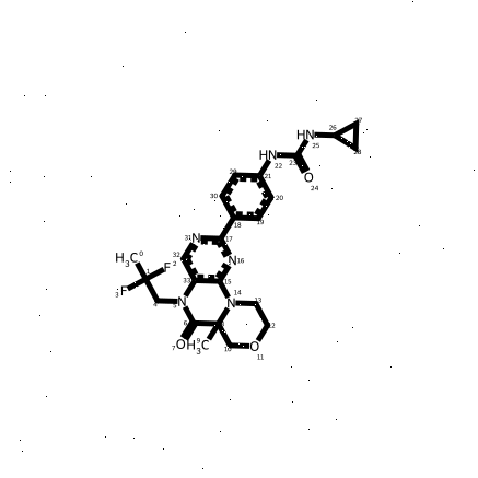 CC(F)(F)CN1C(=O)C2(C)COCCN2c2nc(-c3ccc(NC(=O)NC4CC4)cc3)ncc21